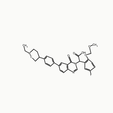 CCN1CCC(c2ccc(-c3ccc4ncn(C(C(=O)O)c5cc(F)ccc5OCOC)c(=O)c4c3)cc2)CC1